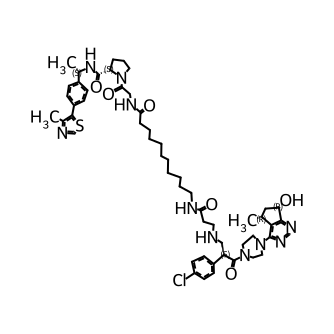 Cc1ncsc1-c1ccc([C@H](C)NC(=O)[C@@H]2CCCN2C(=O)CNC(=O)CCCCCCCCCCNC(=O)CCNC[C@@H](C(=O)N2CCN(c3ncnc4c3[C@H](C)C[C@H]4O)CC2)c2ccc(Cl)cc2)cc1